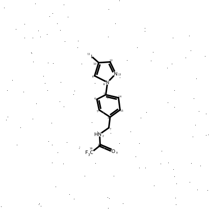 O=C(NCc1ccc(-n2cc(I)cn2)cc1)C(F)(F)F